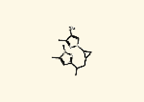 Cc1nn(C2CC2CC(C)c2cc(C)n(C)n2)cc1C(C)(C)C